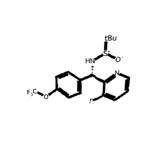 CC(C)(C)[S+]([O-])N[C@@H](c1ccc(OC(F)(F)F)cc1)c1ncccc1F